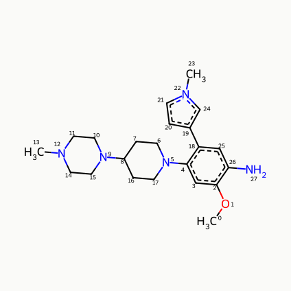 COc1cc(N2CCC(N3CCN(C)CC3)CC2)c(-c2ccn(C)c2)cc1N